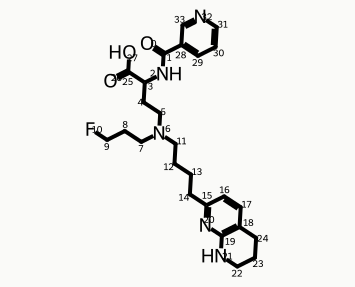 O=C(NC(CCN(CCCF)CCCCc1ccc2c(n1)NCCC2)C(=O)O)c1cccnc1